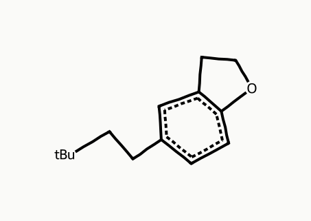 CC(C)(C)CCc1ccc2c(c1)CCO2